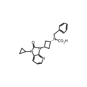 O=C(O)N(Cc1ccccc1)[C@H]1C[C@H](n2c(=O)n(C3CC3)c3cccnc32)C1